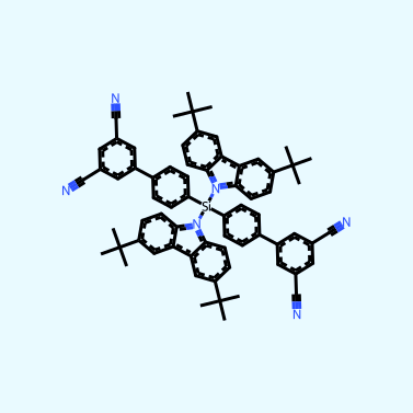 CC(C)(C)c1ccc2c(c1)c1cc(C(C)(C)C)ccc1n2[Si](c1ccc(-c2cc(C#N)cc(C#N)c2)cc1)(c1ccc(-c2cc(C#N)cc(C#N)c2)cc1)n1c2ccc(C(C)(C)C)cc2c2cc(C(C)(C)C)ccc21